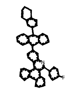 Fc1ccc(-c2nc3cc(-c4c5ccccc5c(-c5ccc6c(c5)C=CCC6)c5ccccc45)ccc3c3c4ccccc4c4ccccc4c23)cc1